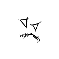 C1CC1.C1CC1.NC=O